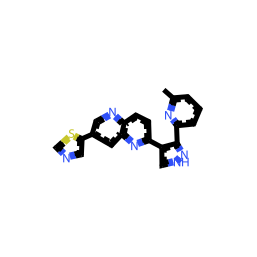 Cc1cccc(-c2n[nH]cc2-c2ccc3ncc(-c4cncs4)cc3n2)n1